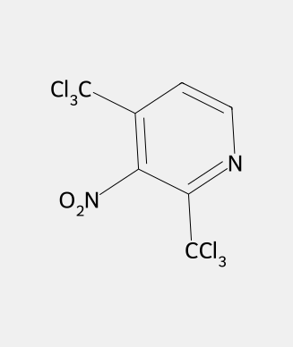 O=[N+]([O-])c1c(C(Cl)(Cl)Cl)ccnc1C(Cl)(Cl)Cl